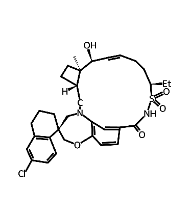 CC[C@@H]1CC/C=C/[C@H](O)[C@]2(C)CC[C@H]2CN2C[C@@]3(CCCc4cc(Cl)ccc43)COc3ccc(cc32)C(=O)NS1(=O)=O